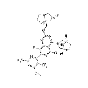 Cc1cc(N)nc(-c2nc(Cl)c3c(N4C[C@H]5CC[C@@H](C4)N5)nc(OC[C@@]45CCCN4C[C@H](F)C5)nc3c2F)c1C(F)(F)F